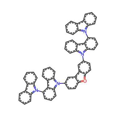 c1ccc2c(c1)c1ccccc1n2-c1cccc2c1c1ccccc1n2-c1ccc2oc3ccc(-n4c5ccccc5c5c(-n6c7ccccc7c7ccccc76)cccc54)cc3c2c1